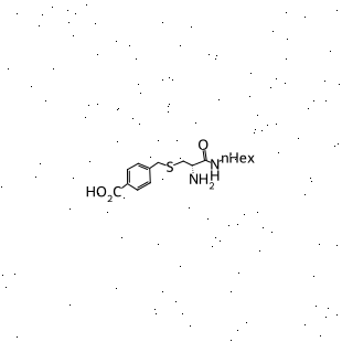 CCCCCCNC(=O)[C@H](N)CSCc1ccc(C(=O)O)cc1